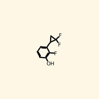 Oc1cccc(C2CC2(F)F)c1F